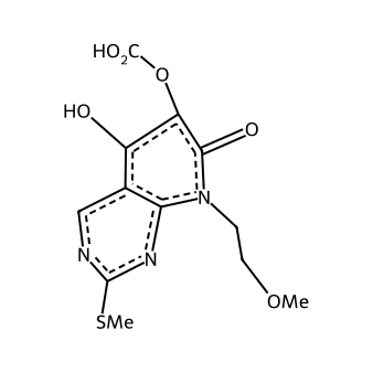 COCCn1c(=O)c(OC(=O)O)c(O)c2cnc(SC)nc21